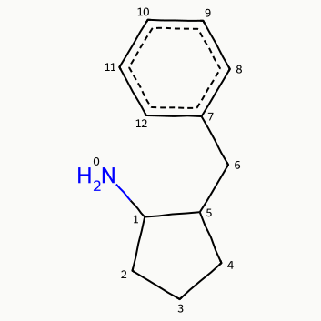 NC1CCCC1Cc1ccccc1